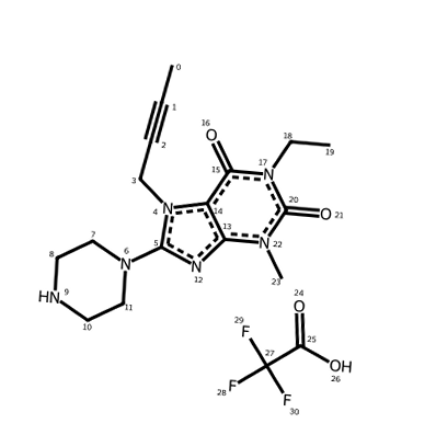 CC#CCn1c(N2CCNCC2)nc2c1c(=O)n(CC)c(=O)n2C.O=C(O)C(F)(F)F